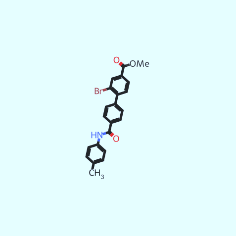 COC(=O)c1ccc(-c2ccc(C(=O)Nc3ccc(C)cc3)cc2)c(Br)c1